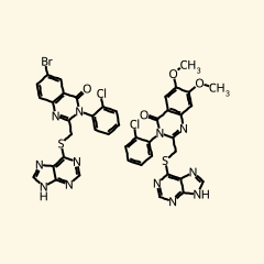 COc1cc2nc(CSc3ncnc4[nH]cnc34)n(-c3ccccc3Cl)c(=O)c2cc1OC.O=c1c2cc(Br)ccc2nc(CSc2ncnc3[nH]cnc23)n1-c1ccccc1Cl